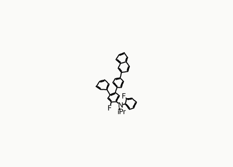 CC(C)N(c1ccccc1F)c1cc(-c2ccc(-c3ccc4ccccc4c3)cc2)c(-c2ccccc2)cc1F